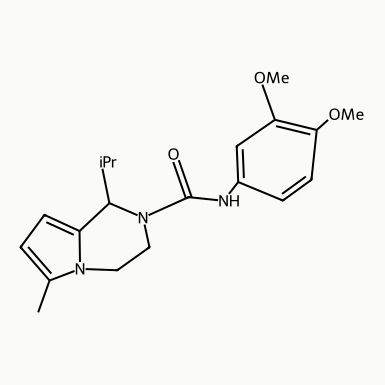 COc1ccc(NC(=O)N2CCn3c(C)ccc3C2C(C)C)cc1OC